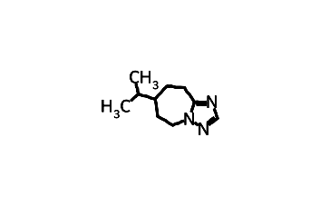 CC(C)C1CCc2ncnn2CC1